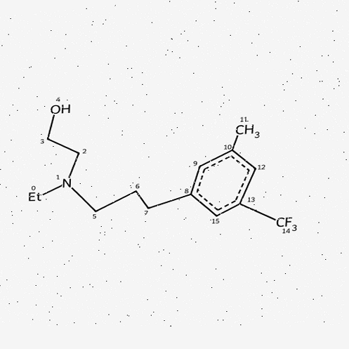 CCN(CCO)CCCc1cc(C)cc(C(F)(F)F)c1